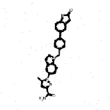 Cc1cc(C(N)=O)nn1-c1ccc2c(ccn2Cc2ccc(-c3ccc4c(c3)=CC(=O)N=4)cc2)c1